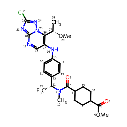 COC(=O)C1CCC(C(=O)N(C)[C@@H](c2ccc(Nc3cnc4nc(Cl)nn4c3[C@H](C)OC)cc2)C(F)(F)F)CC1